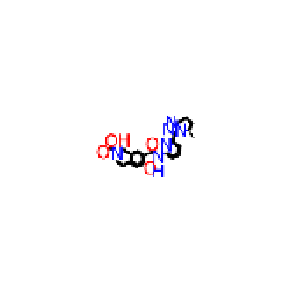 COc1cc2c(cc1C(=O)Nc1cccc(-c3nnc4n3[C@H](C)CC4)n1)CN(C(=O)O)CC2